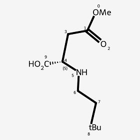 COC(=O)C[C@H](NCCC(C)(C)C)C(=O)O